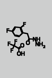 NNC(=O)Cc1ccc(F)cc1F.O=C(O)C(F)(F)F